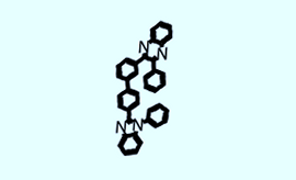 c1ccc(-c2nc3ccccc3nc2-c2cccc(-c3ccc(-c4nc5ccccc5n4-c4ccccc4)cc3)c2)cc1